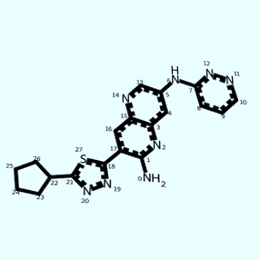 Nc1nc2cc(Nc3cccnn3)cnc2cc1-c1nnc(C2CCCC2)s1